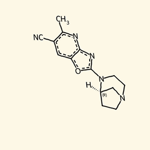 Cc1nc2nc(N3CCN4CC[C@@H]3C4)oc2cc1C#N